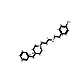 Fc1ccc(CCOCCCN2CCC(Cc3c[c]ccc3)CC2)cc1